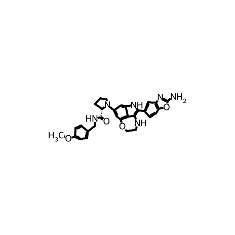 COc1ccc(CNC(=O)[C@@H]2CCCN2c2cc3c4c(c(-c5ccc6oc(N)nc6c5)[nH]c4c2)NCCO3)cc1